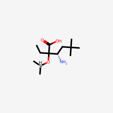 CCC(O[SiH](C)C)(C(=O)O)[C@@H](N)CC(C)(C)C